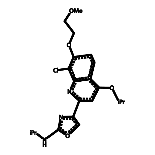 COCCOc1ccc2c(OC(C)C)cc(-c3coc(NC(C)C)n3)nc2c1Cl